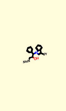 CNCC(O)C(c1ccccc1)n1cc(C(C)C)c2ccccc21